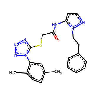 Cc1ccc(C)c(-n2nnnc2SCC(=O)Nc2ccnn2CCc2ccccc2)c1